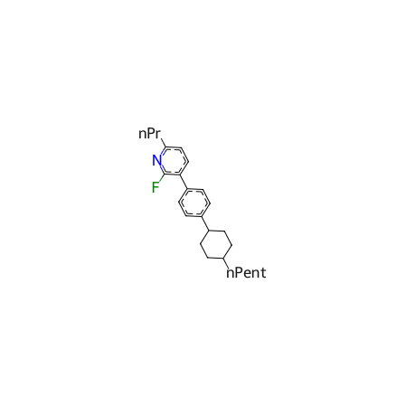 CCCCCC1CCC(c2ccc(-c3ccc(CCC)nc3F)cc2)CC1